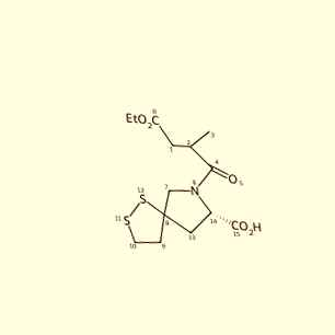 CCOC(=O)CC(C)C(=O)N1CC2(CCSS2)C[C@H]1C(=O)O